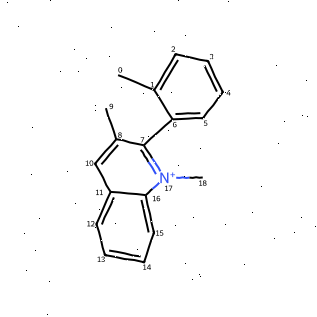 Cc1ccccc1-c1c(C)cc2ccccc2[n+]1C